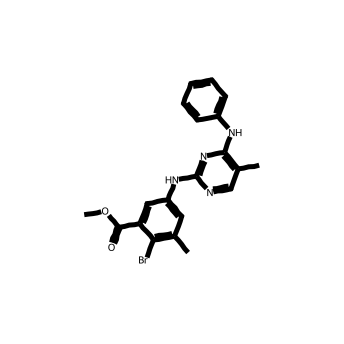 COC(=O)c1cc(Nc2ncc(C)c(Nc3ccccc3)n2)cc(C)c1Br